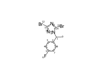 CC(c1ccc(F)cc1)n1nc(Br)nc1Br